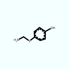 NCSc1ccc(O)cc1